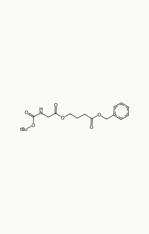 CC(C)(C)OC(=O)NCC(=O)OCCCC(=O)OCc1ccccc1